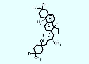 CCC1(C)CCC(O)(CC[C@@H](C)[C@H]2CC[C@H]3[C@@H]4CC=C5C[C@](O)(C(F)(F)F)CC[C@]5(C)[C@H]4CC[C@]23C)CC1